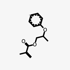 C=C(C)C(=O)OCC(C)Oc1cc[c]cc1